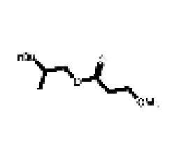 CCCCC(C)COC(=O)CCOC